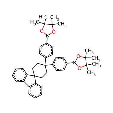 CC1(C)OB(c2ccc(C3(c4ccc(B5OC(C)(C)C(C)(C)O5)cc4)CCC4(CC3)c3ccccc3-c3ccccc34)cc2)OC1(C)C